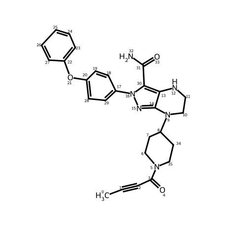 CC#CC(=O)N1CCC(N2CCNc3c2nn(-c2ccc(Oc4ccccc4)cc2)c3C(N)=O)CC1